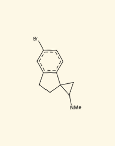 CNC1CC12CCc1cc(Br)ccc12